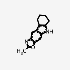 Cc1nc2cc3c4c([nH]c3cc2o1)CCCC4